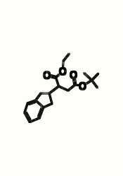 CCOC(=O)C(CC(=O)OC(C)(C)C)C1Cc2ccccc2C1